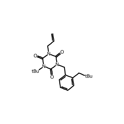 C=CCn1c(=O)n(Cc2ccccc2CC(C)(C)C)c(=O)n(C(C)(C)C)c1=O